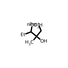 CCCCCCC(C)(O)C(CC)C(=O)O